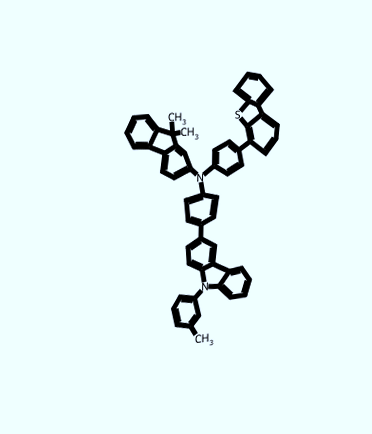 Cc1cccc(-n2c3ccccc3c3cc(-c4ccc(N(c5ccc(-c6cccc7c6sc6ccccc67)cc5)c5ccc6c(c5)C(C)(C)c5ccccc5-6)cc4)ccc32)c1